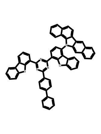 c1ccc(-c2ccc(-c3nc(-c4ccc(-n5c6cc7ccccc7cc6c6ccc7ccccc7c65)c5c4oc4ccccc45)nc(-c4cccc5c4sc4ccccc45)n3)cc2)cc1